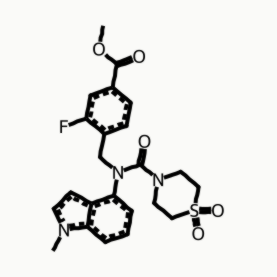 COC(=O)c1ccc(CN(C(=O)N2CCS(=O)(=O)CC2)c2cccc3c2ccn3C)c(F)c1